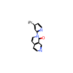 CC(C)c1ccnc(-n2ccc3ccncc3c2=O)c1